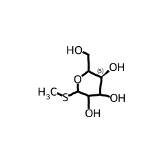 CSC1OC(CO)[C@@H](O)C(O)C1O